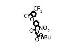 CCCCOC(=O)COC(=O)c1cc(Oc2ccc(C(F)(F)F)cc2Cl)ccc1[N+](=O)[O-]